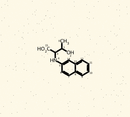 CC(O)C(Nc1ccc2ccccc2c1)C(=O)O